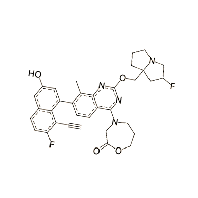 C#Cc1c(F)ccc2cc(O)cc(-c3ccc4c(N5CCCOC(=O)C5)nc(OCC56CCCN5CC(F)C6)nc4c3C)c12